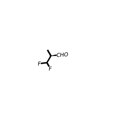 C[C@@H](C=O)C(F)F